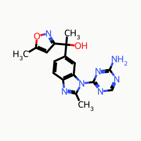 Cc1cc(C(C)(O)c2ccc3nc(C)n(-c4ncnc(N)n4)c3c2)no1